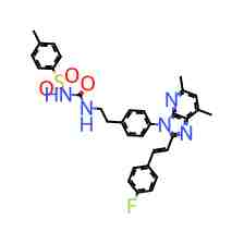 Cc1ccc(S(=O)(=O)NC(=O)NCCc2ccc(-n3c(C=Cc4ccc(F)cc4)nc4c(C)cc(C)nc43)cc2)cc1